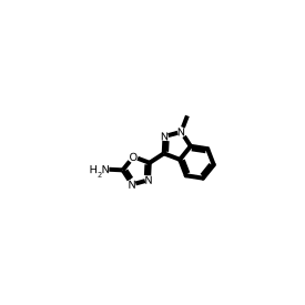 Cn1nc(-c2nnc(N)o2)c2ccccc21